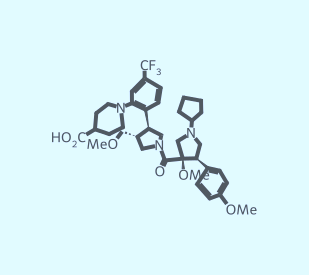 COC[C@H]1CN(C(=O)[C@]2(OC)CN(C3CCCC3)C[C@H]2c2ccc(OC)cc2)C[C@@H]1c1ccc(C(F)(F)F)cc1N1CCC(C(=O)O)CC1